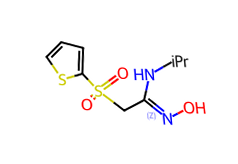 CC(C)N/C(CS(=O)(=O)c1cccs1)=N\O